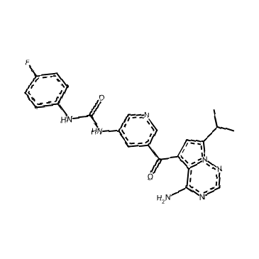 CC(C)c1cc(C(=O)c2cncc(NC(=O)Nc3ccc(F)cc3)c2)c2c(N)ncnn12